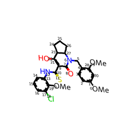 COc1ccc(CN2C(=O)C(C(=S)Nc3cccc(Cl)c3OC)=C(O)C3CCCC32)c(OC)c1